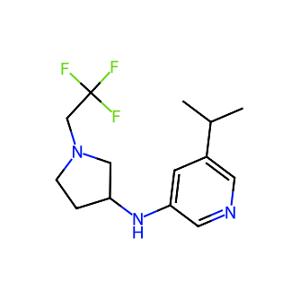 CC(C)c1cncc(NC2CCN(CC(F)(F)F)C2)c1